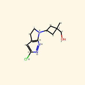 CC1(CO)CC(N2CCc3cc(Cl)nnc32)C1